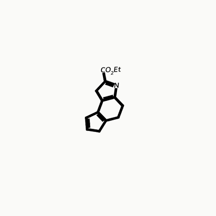 CCOC(=O)C1=NC2=C(C1)C1=C(CC=C1)CC2